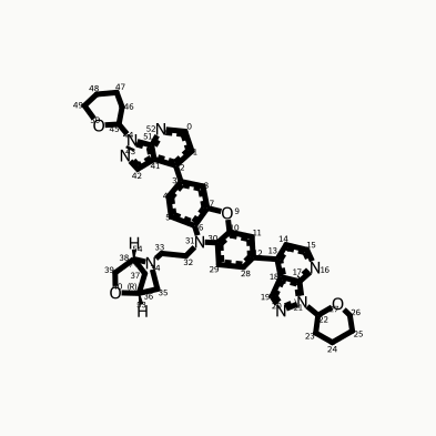 c1cc(-c2ccc3c(c2)Oc2cc(-c4ccnc5c4cnn5C4CCCCO4)ccc2N3CCN2C[C@H]3C[C@@H]2CO3)c2cnn(C3CCCCO3)c2n1